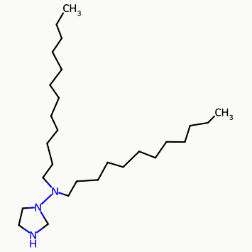 CCCCCCCCCCCCN(CCCCCCCCCCCC)N1CCNC1